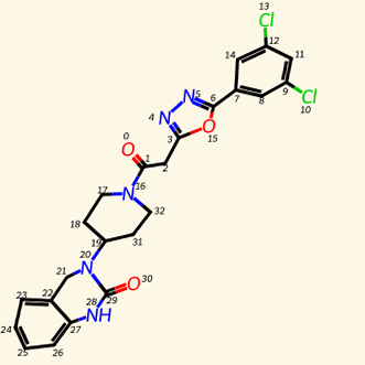 O=C(Cc1nnc(-c2cc(Cl)cc(Cl)c2)o1)N1CCC(N2Cc3ccccc3NC2=O)CC1